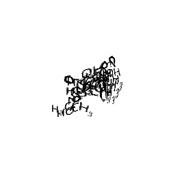 CN(C(=O)O)[C@H](C(=O)N[C@H](Cc1ccc(-c2ccccn2)cc1)C[C@H](O)[C@H](Cc1ccccc1)NC(=O)[C@@H](N1CCN(Cc2cccc(C(C)(C)O)n2)C1=O)C(C)(C)C)C(C)(C)C